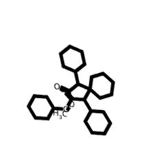 COC(=O)C(C1CCCCC1)C1(C(C(=O)OC2CCCCC2)C2CCCCC2)CCCCC1